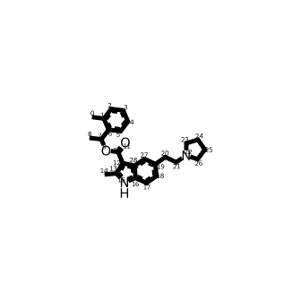 Cc1ccccc1C(C)OC(=O)c1c(C)[nH]c2ccc(CCN3CCCC3)cc12